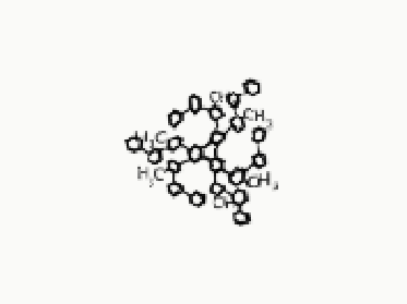 Cc1ccc(-c2cc3c4cc(-c5ccc(C)c(-c6cccc(-c7ccccc7)c6)c5)c(-c5ccc(C)c(-c6cccc(-c7ccccc7)c6)c5)cc4c4cc(-c5ccc(C)c(-c6cccc(-c7ccccc7)c6)c5)c(-c5ccc(C)c(-c6cccc(-c7ccccc7)c6)c5)cc4c3cc2-c2ccc(C)c(-c3cccc(-c4ccccc4)c3)c2)cc1-c1cccc(-c2ccccc2)c1